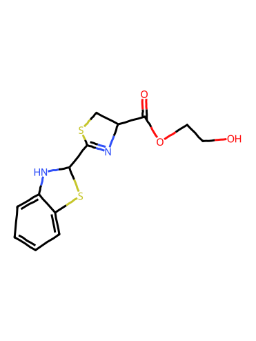 O=C(OCCO)C1CSC(C2Nc3ccccc3S2)=N1